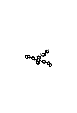 c1ccc2cc(-c3ccc(-c4c5ccccc5c(-c5ccc(-c6ccc7ccccc7c6)cc5)c5cc(-c6ccc(-c7ccncc7)cn6)ccc45)cc3)ccc2c1